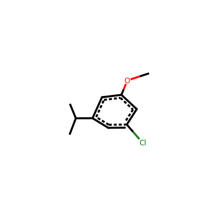 COc1cc(Cl)cc(C(C)C)c1